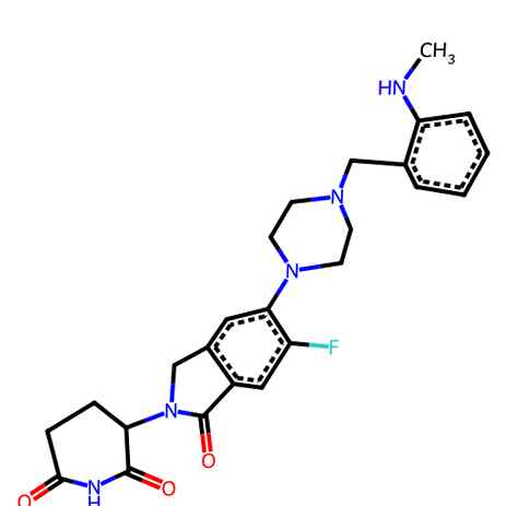 CNc1ccccc1CN1CCN(c2cc3c(cc2F)C(=O)N(C2CCC(=O)NC2=O)C3)CC1